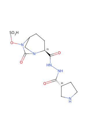 O=C(NNC(=O)[C@@H]1CCC2CN1C(=O)N2OS(=O)(=O)O)[C@@H]1CCNC1